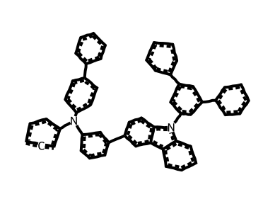 c1ccc(-c2ccc(N(c3ccccc3)c3cccc(-c4ccc5c(c4)c4ccccc4n5-c4cc(-c5ccccc5)cc(-c5ccccc5)c4)c3)cc2)cc1